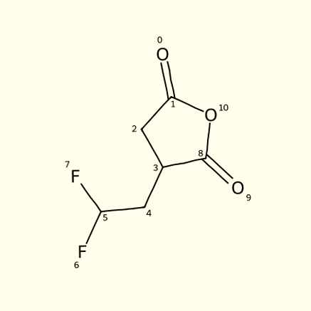 O=C1CC(CC(F)F)C(=O)O1